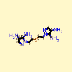 Nc1cnn(CCSCCn2ncc(N)c2N)c1N